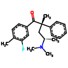 Cc1ccc(C(=O)[C@@](C)(C[C@H](C)N(C)C)c2ccccc2)cc1F